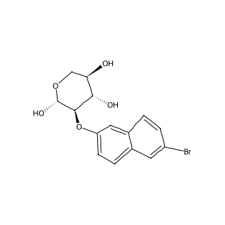 O[C@@H]1[C@@H](Oc2ccc3cc(Br)ccc3c2)[C@H](O)OC[C@H]1O